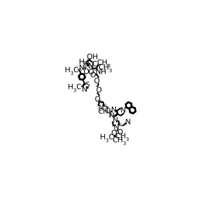 Cc1ncsc1-c1ccc([C@H](C)NC(=O)[C@@H]2C[C@@H](O)CN2C(=O)[C@@H](NC(=O)COCCOCCO[C@@H]2C[C@@H](COc3nc4c(c(N5CCN(C(=O)OC(C)(C)C)[C@@H](CC#N)C5)n3)CCN(c3cccc5ccccc35)C4)N(C)C2)C(C)(C)C)cc1